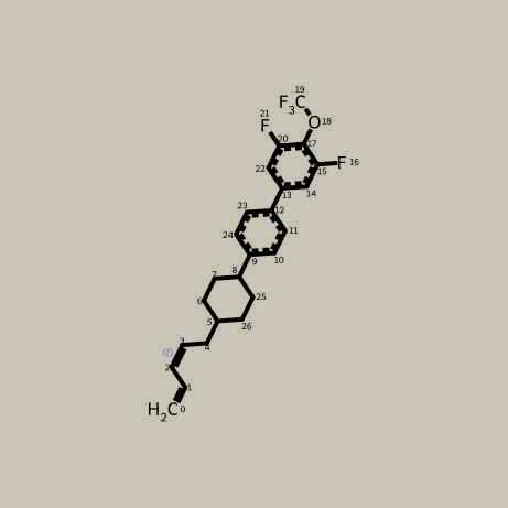 C=C/C=C\CC1CCC(c2ccc(-c3cc(F)c(OC(F)(F)F)c(F)c3)cc2)CC1